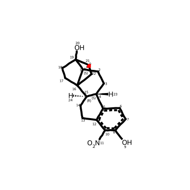 C[C@]12CC[C@@H]3c4ccc(O)c([N+](=O)[O-])c4CC[C@H]3C13CCC2(O)CC3